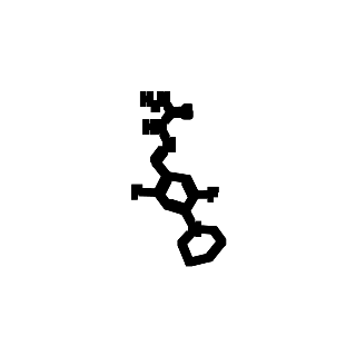 NC(=S)N/N=C/c1cc(F)c(N2CCCCC2)cc1F